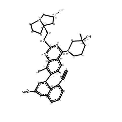 C#Cc1cccc2cc(OC)cc(-c3c(F)cc4c(N5CCC[C@@](C)(O)C5)nc(OC[C@@]56CCCN5C[C@H](F)C6)nc4c3F)c12